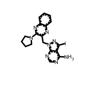 Nc1ncnc2c1c(I)nn2Cc1nc2ccccc2nc1N1CCCC1